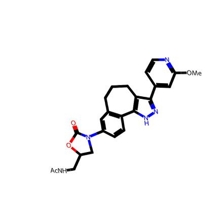 COc1cc(-c2n[nH]c3c2CCCc2cc(N4CC(CNC(C)=O)OC4=O)ccc2-3)ccn1